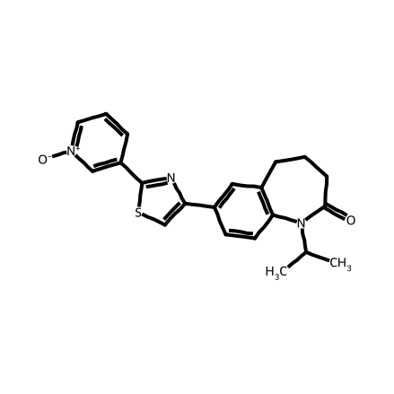 CC(C)N1C(=O)CCCc2cc(-c3csc(-c4ccc[n+]([O-])c4)n3)ccc21